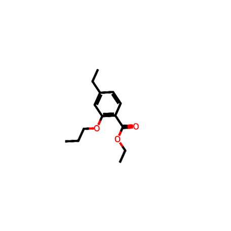 CCCOc1cc(CC)ccc1C(=O)OCC